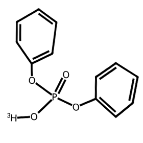 [3H]OP(=O)(Oc1ccccc1)Oc1ccccc1